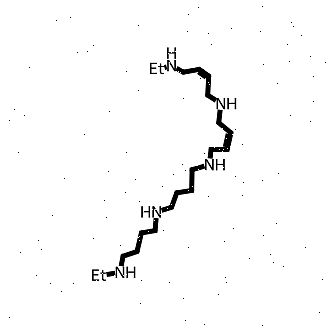 CCNC/C=C\CNC/C=C\CNCCCCNCCCCNCC